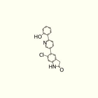 O=C1Cc2cc(-c3ccc(-c4ccccc4O)nc3)c(Cl)cc2N1